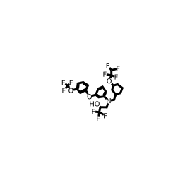 OC(CN(CC1CCCC(OC(F)(F)C(F)F)C1)c1cccc(Oc2cccc(OC(F)(F)F)c2)c1)C(F)(F)F